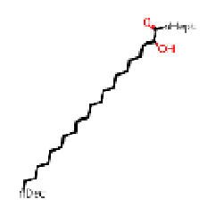 CCCCCCCCCCCCCCCCCCCCCCCCCCCCCC(O)C(=O)CCCCCCC